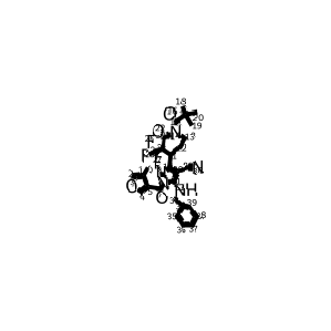 Cc1cocc1C(=O)n1nc(C2CCN(C(=O)C(C)(C)C)C(=O)C2C(F)(F)F)c(C#N)c1NCc1ccccc1